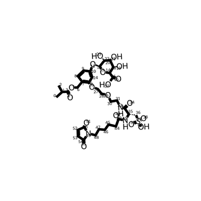 CC(C)C(=O)OCc1ccc(O[C@@H]2OC(C(=O)O)[C@@H](O)[C@H](O)[C@H]2O)cc1OCCOCCNC(=O)[C@H](CS(=O)(=O)O)NC(=O)CCCCCN1C(=O)C=CC1=O